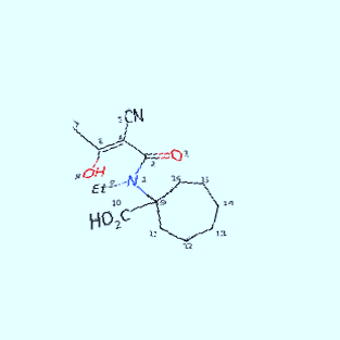 CCN(C(=O)C(C#N)=C(C)O)C1(C(=O)O)CCCCCC1